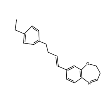 CCc1ccc(CCC=Cc2ccc3c(c2)OCCC=N3)cc1